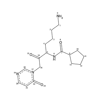 NCCCCC(NC(=O)C1CCCC1)C(=O)Cn1cnccc1=O